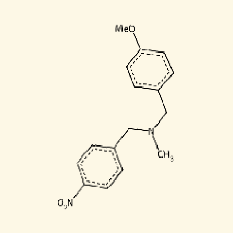 COc1ccc(CN(C)Cc2ccc([N+](=O)[O-])cc2)cc1